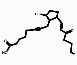 CCCCC(=O)C=CC1CCC(O)C1CC#CCCCCC(=O)O